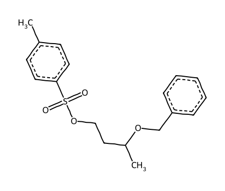 Cc1ccc(S(=O)(=O)OCCC(C)OCc2ccccc2)cc1